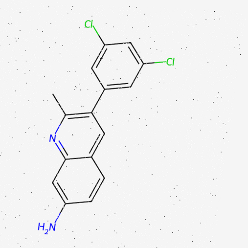 Cc1nc2cc(N)ccc2cc1-c1cc(Cl)cc(Cl)c1